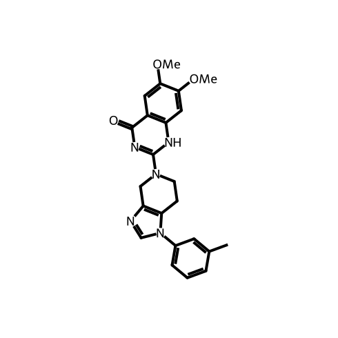 COc1cc2[nH]c(N3CCc4c(ncn4-c4cccc(C)c4)C3)nc(=O)c2cc1OC